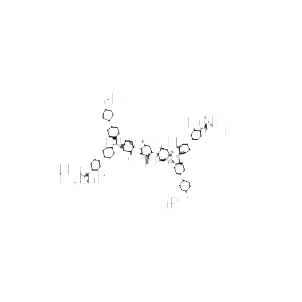 CCCCCCc1cc(-c2ccc(N(c3ccc(-c4ccc(CC(C)C)cc4)cc3)c3ccc(-c4ccc(C(C)(N)CCC)cc4)cc3)cc2C)c(CCCCCC)cc1-c1ccc(N(c2ccc(-c3ccc(CC(C)C)cc3)cc2)c2ccc(-c3ccc(C(C)(N)CC)cc3)cc2)cc1C